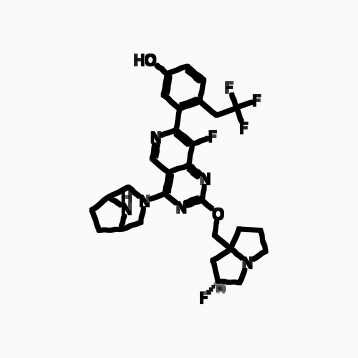 Oc1ccc(CC(F)(F)F)c(-c2ncc3c(N4CC5CCC(C4)N5)nc(OCC45CCCN4C[C@H](F)C5)nc3c2F)c1